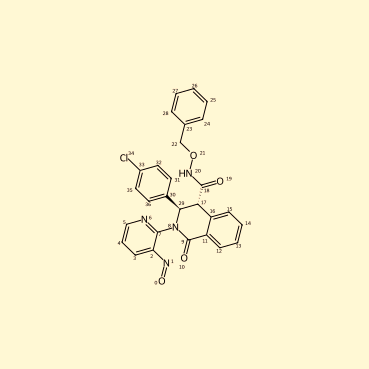 O=Nc1cccnc1N1C(=O)c2ccccc2[C@@H](C(=O)NOCc2ccccc2)[C@@H]1c1ccc(Cl)cc1